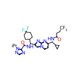 CC(C)n1ncnc1C(=O)N[C@H](c1cn2ccc([C@H](NC(=O)CCC(F)(F)F)C3CC3)nc2n1)C1CCC(F)(F)CC1